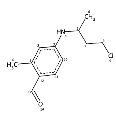 Cc1cc(NC(C)CCCl)ccc1C=O